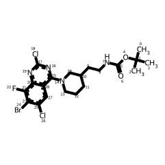 CC(C)(C)OC(=O)NCCC1CCCN(c2nc(Cl)nc3c(F)c(Br)c(Cl)cc23)C1